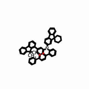 CC1(C)c2ccccc2-c2cccc(-c3cccc(N(c4ccc5c(c4)C4(CCCCC4)c4ccccc4-5)c4ccccc4-c4ccc(-c5ccccc5)cc4)c3)c21